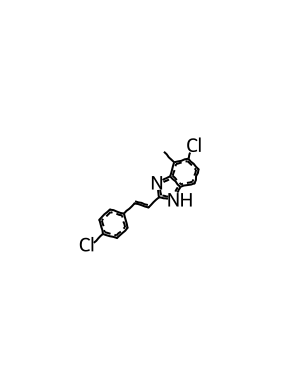 Cc1c(Cl)ccc2[nH]c(C=Cc3ccc(Cl)cc3)nc12